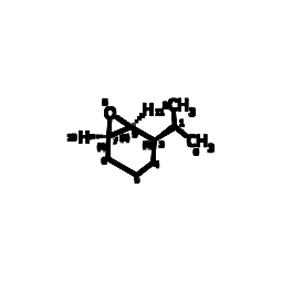 CC(C)[C@H]1CCC[C@H]2O[C@@H]12